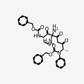 CC(C)C[C@H](NC(=O)OCc1ccccc1)C(=O)C(N)(N)C(=O)CC(=O)[C@H](C)N(C(=O)OCc1ccccc1)c1ccccc1